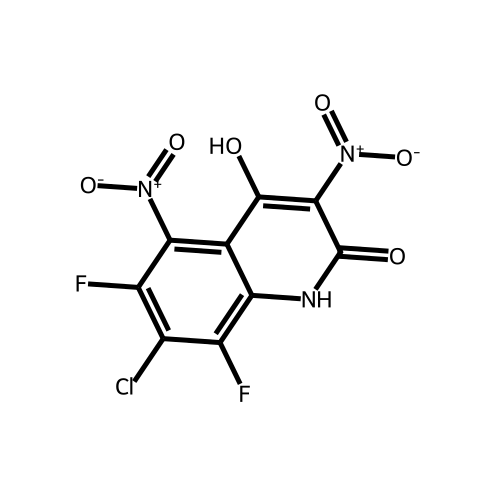 O=c1[nH]c2c(F)c(Cl)c(F)c([N+](=O)[O-])c2c(O)c1[N+](=O)[O-]